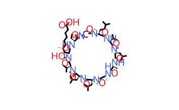 CC[C@@H]1NC(=O)[C@H]([C@H](O)[C@H](C)CCCCCC(=O)O)N(C)C(=O)[C@H](C(C)C)N(C)C(=O)[C@H](CC(C)C)N(C)C(=O)[C@H](CC(C)C)N(C)C(=O)[C@@H](C)NC(=O)[C@H](C)NC(=O)[C@H](CC(C)C)N(C)C(=O)[C@H](C(C)C)NC(=O)[C@H](CCC(C)C)N(C)C(=O)CN(C)C1=O